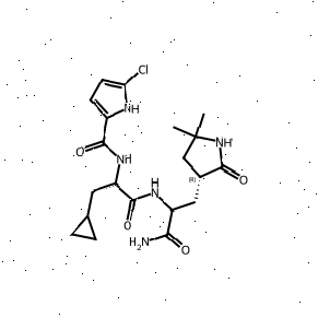 CC1(C)C[C@@H](CC(NC(=O)C(CC2CC2)NC(=O)c2ccc(Cl)[nH]2)C(N)=O)C(=O)N1